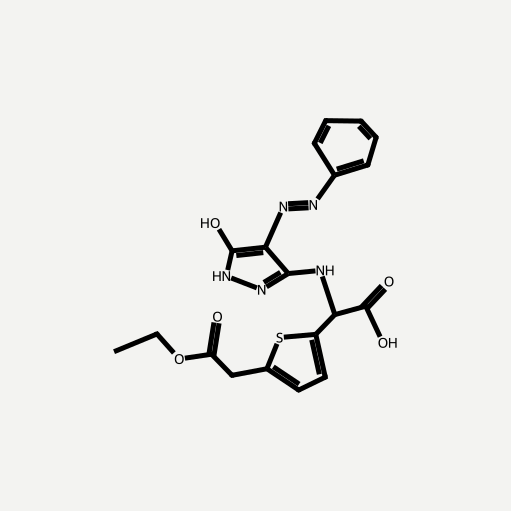 CCOC(=O)Cc1ccc(C(Nc2n[nH]c(O)c2N=Nc2ccccc2)C(=O)O)s1